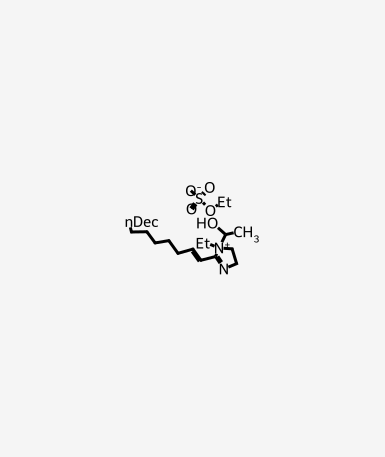 CCCCCCCCCCCCCCCC=CC1=NCC[N+]1(CC)C(C)O.CCOS(=O)(=O)[O-]